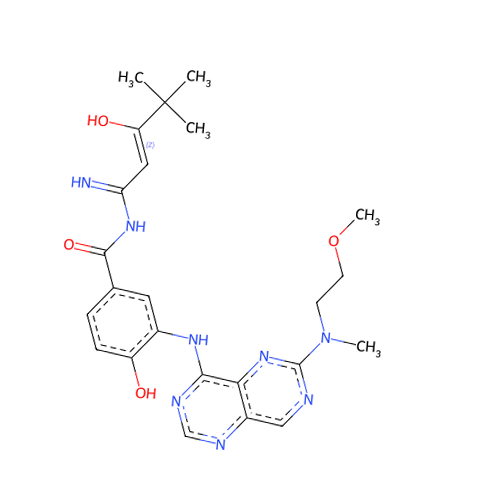 COCCN(C)c1ncc2ncnc(Nc3cc(C(=O)NC(=N)/C=C(\O)C(C)(C)C)ccc3O)c2n1